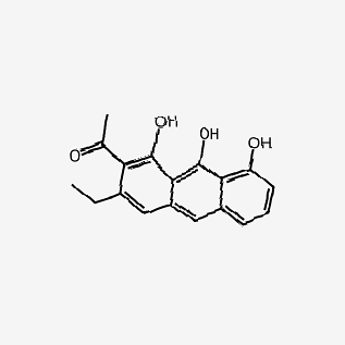 CCc1cc2cc3cccc(O)c3c(O)c2c(O)c1C(C)=O